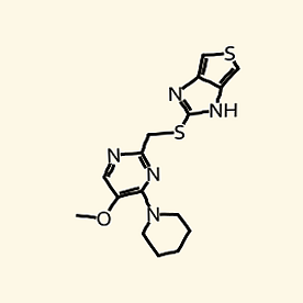 COc1cnc(CSc2nc3cscc3[nH]2)nc1N1CCCCC1